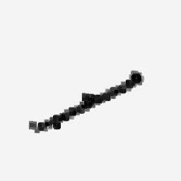 CCCCCC(=O)OCCOCCOCCOCCOCC(O)COCCOCCOCCOCCOCc1ccccc1